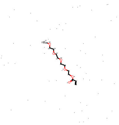 C=CC(=O)OCCOCCOCCOCCOCCCC